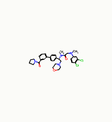 CN(CC(=O)N(C)C(CN1CCOCC1)c1ccc(-c2cccc(C(=O)N3CCCC3)c2)cc1)c1ccc(Cl)c(Cl)c1